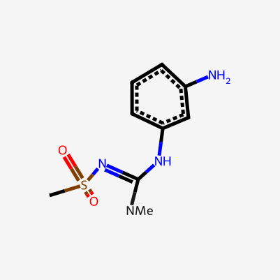 CNC(=NS(C)(=O)=O)Nc1cccc(N)c1